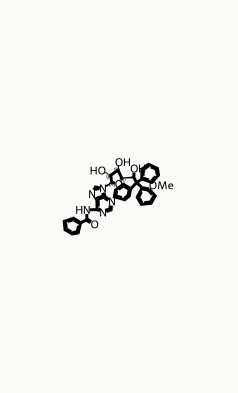 COc1ccccc1C(c1ccccc1)(c1ccccc1)C(O)[C@H]1O[C@@H](n2cnc3c(NC(=O)c4ccccc4)ncnc32)[C@H](O)[C@@H]1O